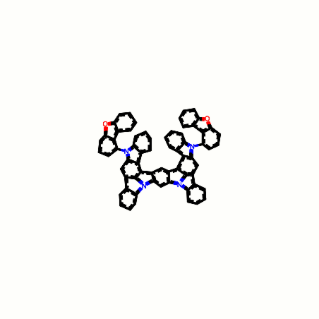 c1ccc2c(c1)oc1cccc(-n3c4ccccc4c4c5c6cc7c8c9c%10ccccc%10n(-c%10cccc%11oc%12ccccc%12c%10%11)c9cc9c%10ccccc%10n(c7cc6n6c7ccccc7c(cc43)c56)c98)c12